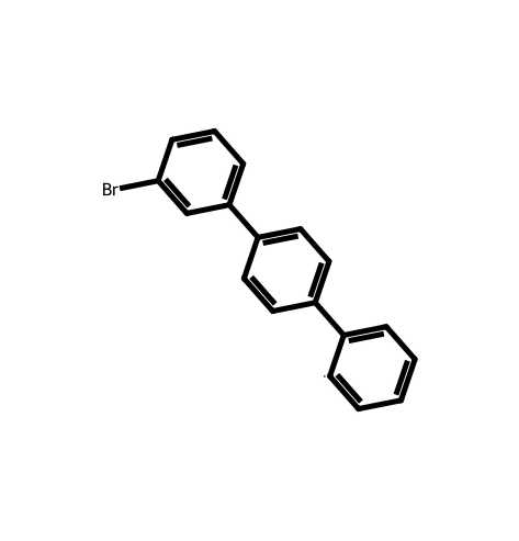 Brc1cccc(-c2ccc(-c3[c]cccc3)cc2)c1